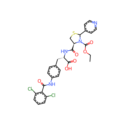 CCOC(=O)N1C(c2ccncc2)SC[C@@H]1C(=O)N[C@@H](Cc1ccc(NC(=O)c2c(Cl)cccc2Cl)cc1)C(=O)O